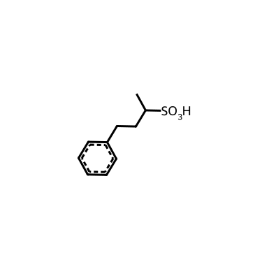 CC(CCc1ccccc1)S(=O)(=O)O